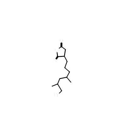 CC(C)CC(C)CC(C)CCCC1CC(=O)OC1=O